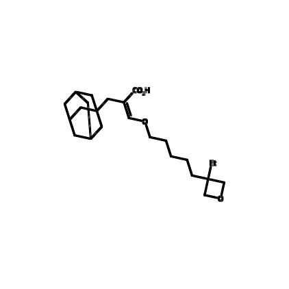 CCC1(CCCCCOC=C(CC23CC4CC(CC(C4)C2)C3)C(=O)O)COC1